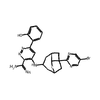 N=C(N)c1nnc(-c2ccccc2O)cc1NC1CC2CC3C(C1)CC3(c1ncc(Br)cn1)C2